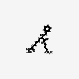 CCOC(=O)CCCNC(=O)C(CCCCOC(=O)NC(C)(C)C)NCc1ccccc1